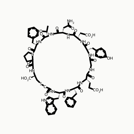 CC(O)[C@@H]1NC(=O)[C@H](CC(N)=O)NC(=O)[C@H](CC(=O)O)NC(=O)[C@H](Cc2ccc(O)cc2)NC(=O)CNC(=O)[C@H](CCC(=O)O)NC(=O)[C@H](Cc2ccccc2)NC(=O)[C@H](Cc2c[nH]c3ccccc23)NC(=O)CSC[C@@H](C(=O)O)NC(=O)[C@@H]2CCCN2C(=O)[C@H](Cc2ccccc2)NC1=O